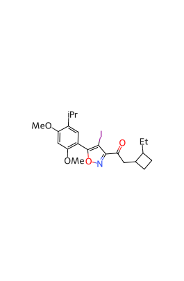 CCC1CCC1CC(=O)c1noc(-c2cc(C(C)C)c(OC)cc2OC)c1I